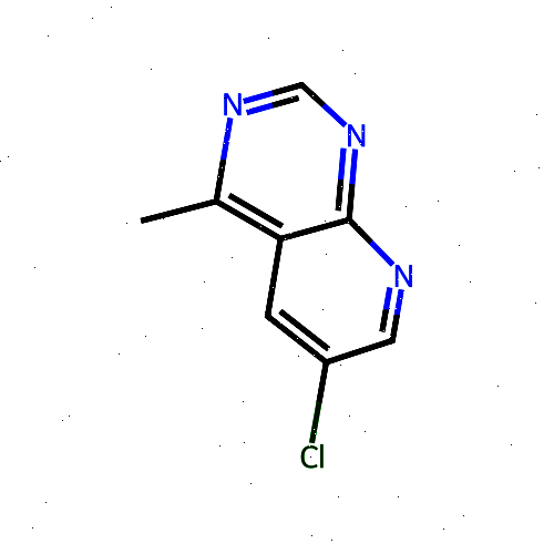 Cc1ncnc2ncc(Cl)cc12